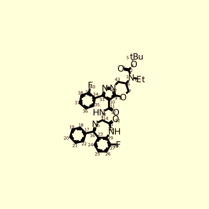 CCN(C(=O)OC(C)(C)C)C1COc2c(C(=O)N[C@H]3N=C(c4ccccc4)c4cccc(F)c4NC3=O)c(-c3ccccc3F)nn2C1